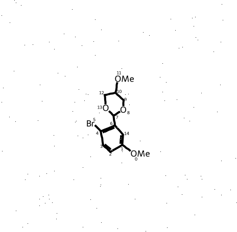 COc1ccc(Br)c(C2OCC(OC)CO2)c1